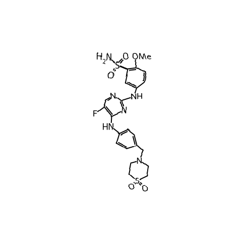 COc1ccc(Nc2ncc(F)c(Nc3ccc(CN4CCS(=O)(=O)CC4)cc3)n2)cc1S(N)(=O)=O